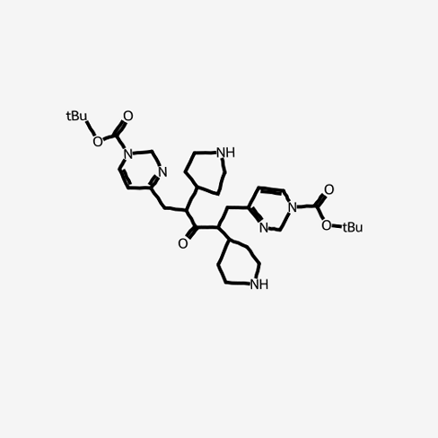 CC(C)(C)OC(=O)N1C=CC(CC(C(=O)C(CC2=NCN(C(=O)OC(C)(C)C)C=C2)C2CCNCC2)C2CCNCC2)=NC1